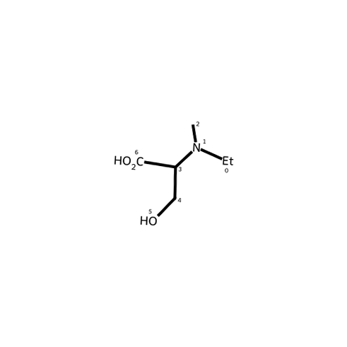 CCN(C)C(CO)C(=O)O